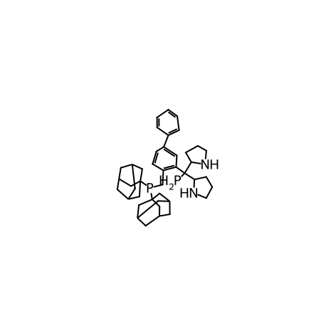 PC(c1cc(-c2ccccc2)ccc1CP(C12CC3CC(CC(C3)C1)C2)C12CC3CC(CC(C3)C1)C2)(C1CCCN1)C1CCCN1